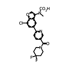 CN(C(=O)O)c1coc2c(Cl)cc(-c3ccc(C(=O)N4CCC(F)(F)CC4)cn3)cc12